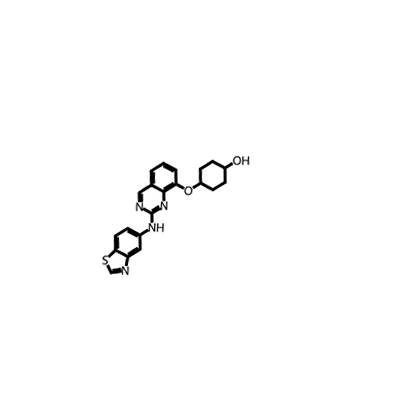 OC1CCC(Oc2cccc3cnc(Nc4ccc5scnc5c4)nc23)CC1